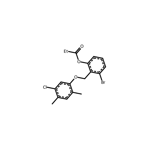 CCC(=O)Oc1cccc(Br)c1COc1cc(Cl)c(C)cc1C